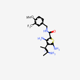 COc1ccc(CNC(=O)c2sc(N)c(/C(C)=C(/C)N)c2N)cc1C(F)(F)F